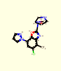 FC(F)(F)c1c(Cl)cc(-n2cccn2)c2oc(N3CC4COCC3CN4)nc12